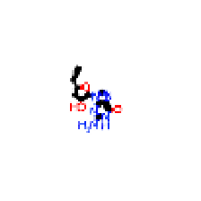 C#CC[C@@H]1C[C@@H](O)[C@H](n2cnc3c(=O)[nH]c(N)nc32)O1